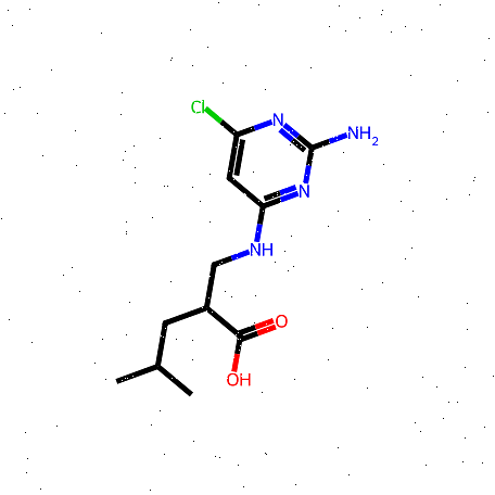 CC(C)CC(CNc1cc(Cl)nc(N)n1)C(=O)O